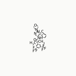 Cc1ccccc1-c1cc(N2CCOCC2)ncc1NC(=O)C(C)(C)c1cc(C(F)(F)F)cc(C(F)(F)F)c1